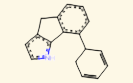 C1=CCC(c2cccc3c2-c2[nH]ccc2C3)C=C1